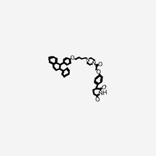 O=C1CCC(c2ccc(OCC(=O)N3CCN(CCCCOc4ccc(C5c6ccccc6CCC5c5ccccc5)cc4)CC3)cc2)C(=O)N1